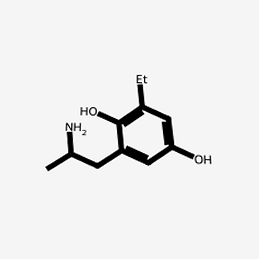 CCc1cc(O)cc(CC(C)N)c1O